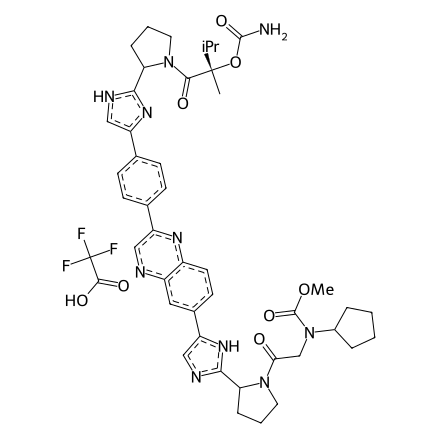 COC(=O)N(CC(=O)N1CCCC1c1ncc(-c2ccc3nc(-c4ccc(-c5c[nH]c(C6CCCN6C(=O)[C@@](C)(OC(N)=O)C(C)C)n5)cc4)cnc3c2)[nH]1)C1CCCC1.O=C(O)C(F)(F)F